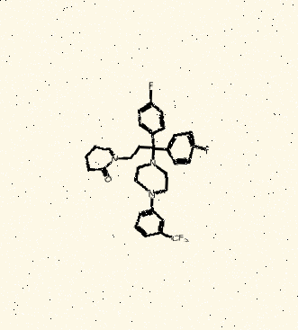 O=C1CCCCN1CCC(c1ccc(F)cc1)(c1ccc(F)cc1)N1CCN(c2cccc(C(F)(F)F)c2)CC1